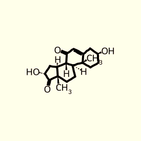 C[C@]12CC[C@H](O)CC1=CC(=O)[C@@H]1[C@@H]2CC[C@]2(C)C(=O)[C@H](O)C[C@@H]12